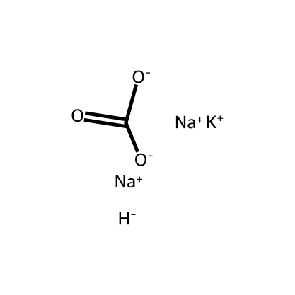 O=C([O-])[O-].[H-].[K+].[Na+].[Na+]